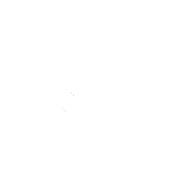 Cc1ccc(-c2cc(C)n(C)n2)cc1